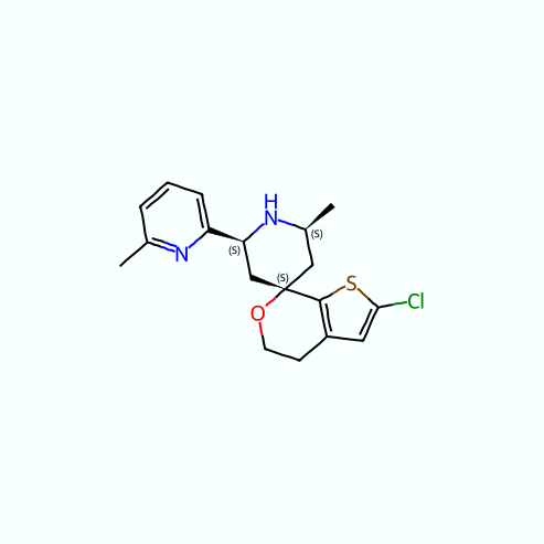 Cc1cccc([C@@H]2C[C@]3(C[C@H](C)N2)OCCc2cc(Cl)sc23)n1